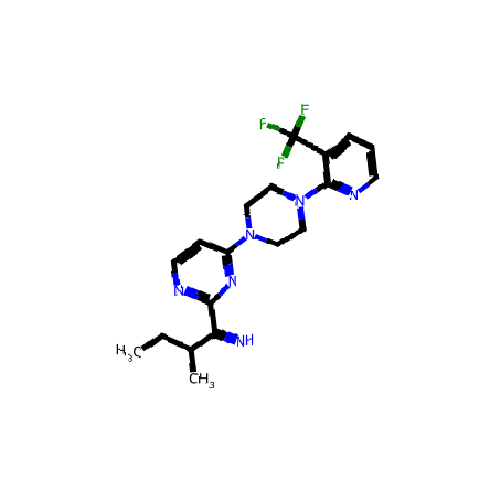 CCC(C)C(=N)c1nccc(N2CCN(c3ncccc3C(F)(F)F)CC2)n1